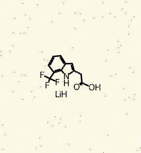 O=C(O)Cc1cc2cccc(C(F)(F)F)c2[nH]1.[LiH]